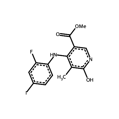 COC(=O)c1cnc(O)c(C)c1Nc1ccc(I)cc1F